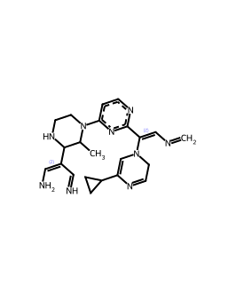 C=N/C=C(/c1nccc(N2CCNC(/C(C=N)=C/N)C2C)n1)N1C=C(C2CC2)N=CC1